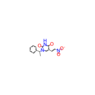 CC(c1ccccc1)n1cc(/C=C/[N+](=O)[O-])c(=O)[nH]c1=O